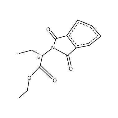 [CH2]C[C@@H](C(=O)OCC)N1C(=O)c2ccccc2C1=O